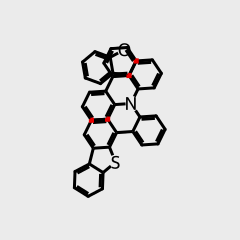 c1ccc(-c2ccccc2N(c2ccccc2-c2cccc3c2sc2ccccc23)c2cccc3oc4ccccc4c23)cc1